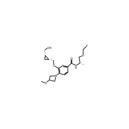 COC1CN(c2ccc(C(=O)N[C@@H](C)COCF)nc2OC[C@@H]2C[C@@H]2CO)C1